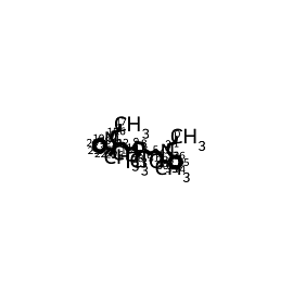 CCCN1/C(=C/C=C2\CCC(/C=C/C3N(CCC)c4ccccc4C3(C)C)=C2Cl)C(C)(C)c2ccccc21